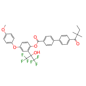 CCC(C)(C)C(=O)c1ccc(-c2ccc(C(=O)Oc3ccc(Oc4ccc(OC)cc4)cc3C(O)(C(F)(F)F)C(F)(F)F)cc2)cc1